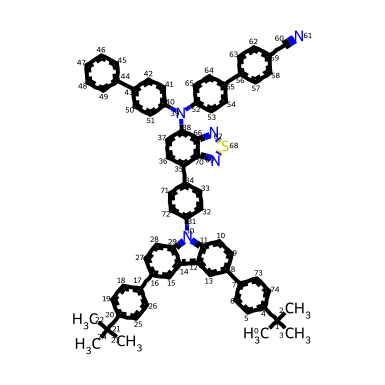 CC(C)(C)c1ccc(-c2ccc3c(c2)c2cc(-c4ccc(C(C)(C)C)cc4)ccc2n3-c2ccc(-c3ccc(N(c4ccc(-c5ccccc5)cc4)c4ccc(-c5ccc(C#N)cc5)cc4)c4nsnc34)cc2)cc1